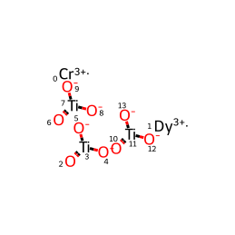 [Cr+3].[Dy+3].[O]=[Ti]([O-])[O-].[O]=[Ti]([O-])[O-].[O]=[Ti]([O-])[O-]